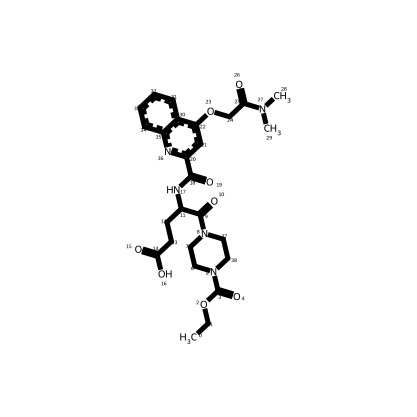 CCOC(=O)N1CCN(C(=O)C(CCC(=O)O)NC(=O)c2cc(OCC(=O)N(C)C)c3ccccc3n2)CC1